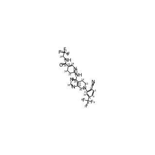 N#Cc1ccc(C(F)(F)F)cc1N1CCc2c(ncnc2NC2=NC=C(C(=O)NCC(F)(F)F)CC2)C1